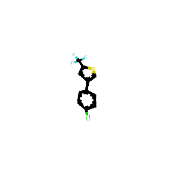 FC(F)(F)c1[c]c(-c2ccc(Cl)cc2)cs1